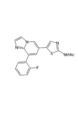 CC(=O)Nc1ncc(-c2cc(-c3ccccc3F)c3nccn3c2)s1